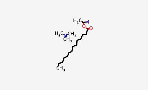 CCCCCCCCCCCCCC(=O)OC(C)I.CN(C)C